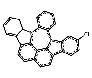 Clc1ccc2c3ccc4ccc5c6c4c3n(c2c1)c1ccccc1n6C1CC=CC=C51